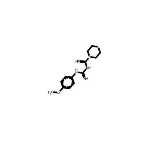 N=C(NC(=N)N1CCOCC1)Nc1ccc(OC(F)(F)F)cc1